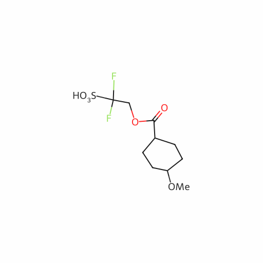 COC1CCC(C(=O)OCC(F)(F)S(=O)(=O)O)CC1